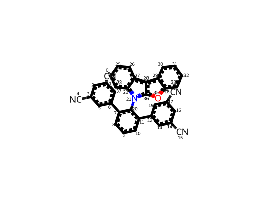 N#Cc1cc(C#N)cc(-c2cccc(-c3cc(C#N)cc(C#N)c3)c2-n2c3ccccc3c3c4ccccc4oc32)c1